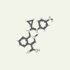 CO/C=C(/C(=O)O)c1ccccc1CSC(=Nc1ccc(OC)cc1)C1CC1